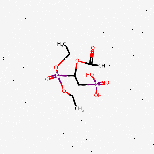 CCOP(=O)(OCC)C(CP(=O)(O)O)OC(C)=O